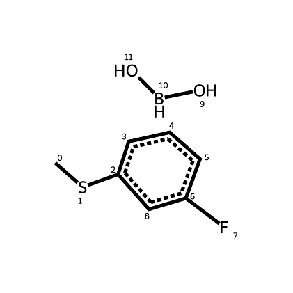 CSc1cccc(F)c1.OBO